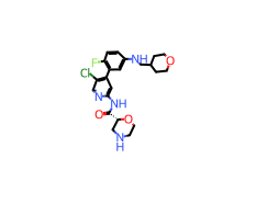 O=C(Nc1cc(-c2cc(NCC3CCOCC3)ccc2F)c(Cl)cn1)[C@H]1CNCCO1